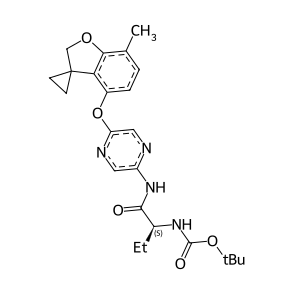 CC[C@H](NC(=O)OC(C)(C)C)C(=O)Nc1cnc(Oc2ccc(C)c3c2C2(CC2)CO3)cn1